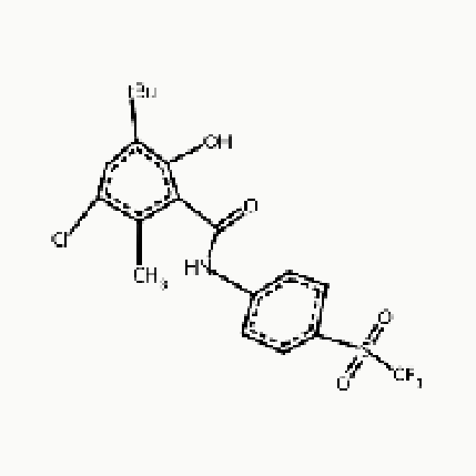 Cc1c(Cl)cc(C(C)(C)C)c(O)c1C(=O)Nc1ccc(S(=O)(=O)C(F)(F)F)cc1